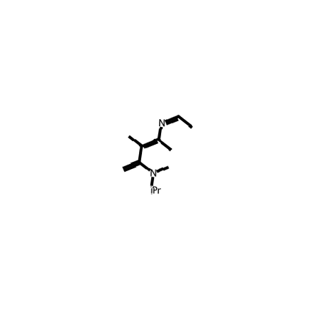 C=C(/C(C)=C(C)/N=C\C)N(C)C(C)C